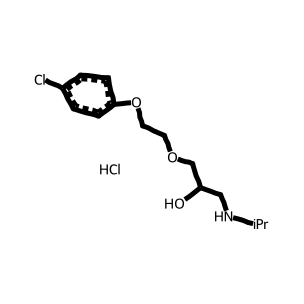 CC(C)NCC(O)COCCOc1ccc(Cl)cc1.Cl